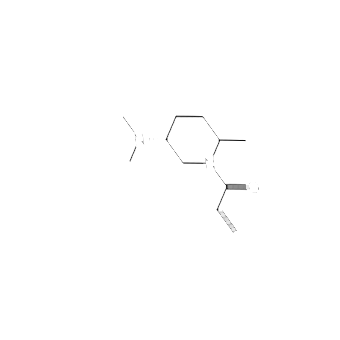 C=CC(=O)N1C[C@H](N(C)C)CCC1C